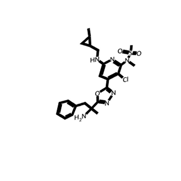 CC1CC1CNc1cc(-c2nnc(C(C)(N)Cc3ccccc3)o2)c(Cl)c(N(C)S(C)(=O)=O)n1